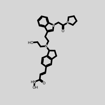 O=C(C=Cc1ccc2c(c1)CCC2N(CCO)CCc1cn(CC(=O)N2CCCC2)c2ccccc12)NO